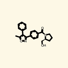 Cc1onc(-c2ccc(C(=O)N3CCC[C@H]3CO)cc2)c1-c1ccccc1